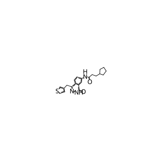 O=C(CCC1CCCC1)Nc1ccc2c(Cc3ccsc3)n[nH]c(=O)c2c1